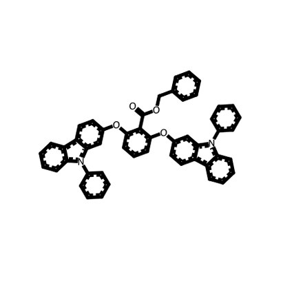 O=C(OCc1ccccc1)c1c(Oc2ccc3c4ccccc4n(-c4ccccc4)c3c2)cccc1Oc1ccc2c3ccccc3n(-c3ccccc3)c2c1